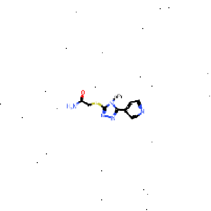 CCCn1c(SCC(N)=O)nnc1-c1ccncc1